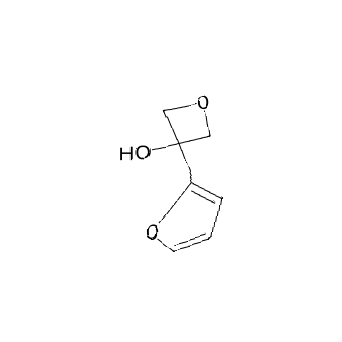 OC1(c2ccco2)COC1